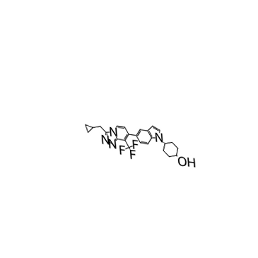 O[C@H]1CC[C@H](n2ccc3cc(-c4ccn5c(CC6CC6)nnc5c4C(F)(F)F)ccc32)CC1